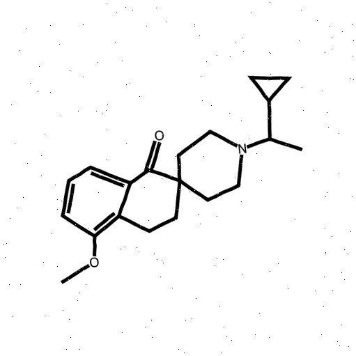 COc1cccc2c1CCC1(CCN(C(C)C3CC3)CC1)C2=O